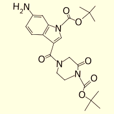 CC(C)(C)OC(=O)N1CCN(C(=O)c2cn(C(=O)OC(C)(C)C)c3cc(N)ccc23)CC1=O